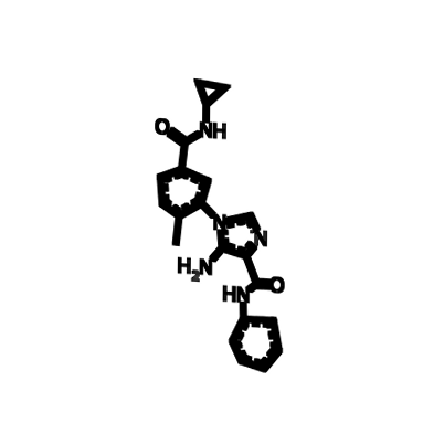 Cc1ccc(C(=O)NC2CC2)cc1-n1cnc(C(=O)Nc2ccccc2)c1N